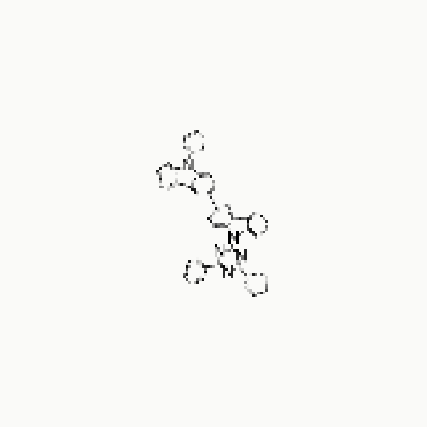 C1=CCCC(n2c3ccccc3c3cc(-c4ccc5c(c4)c4ccccc4n5-c4nc(-c5ccccc5)nc(C5C=CC=CC5)n4)ccc32)=C1